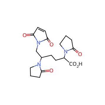 O=C(O)C(CCC(CN1C(=O)C=CC1=O)N1CCCC1=O)N1CCCC1=O